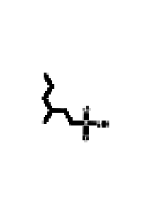 CCC[C](C)CCS(=O)(=O)O